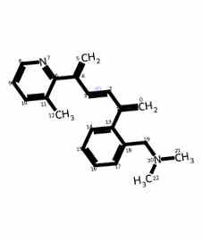 C=C(/C=C/C(=C)c1ncccc1C)c1ccccc1CN(C)C